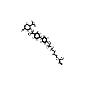 C=CC(=O)OCCCCOC(=O)Oc1ccc(-c2ccc(C(=O)OC3CC(C)CCC3C(C)C)cc2)cc1